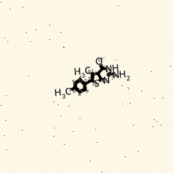 CC1=C(c2ccc(C)cc2)SC2N=C(N)NC(=O)C12